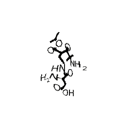 CC(C)OC(=O)C(CCNC(=O)[C@@H](N)CC(=O)O)C(=O)C(C)(C)N